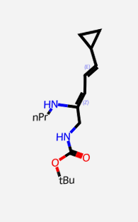 CCCN/C(=C\C=C\C1CC1)CNC(=O)OC(C)(C)C